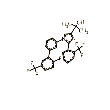 CC(C)(O)c1cn(-c2cccc(-c3cc(C(F)(F)F)ccc3F)c2)c(-c2ccccc2C(F)(F)F)n1